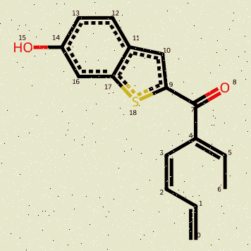 C=C/C=C\C(=C/C)C(=O)c1cc2ccc(O)cc2s1